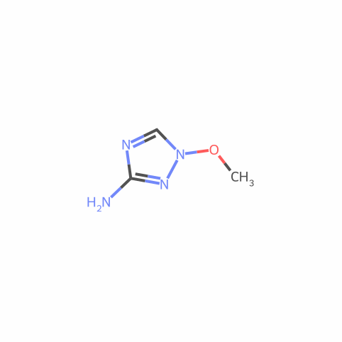 COn1cnc(N)n1